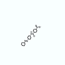 O=C(Nc1ccc(/N=N/c2ccccc2)cc1)c1ccc([N+](=O)[O-])cc1